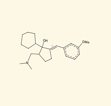 COc1cccc(/C=C2\CCC(CN(C)C)C2(O)C2CCCCC2)c1